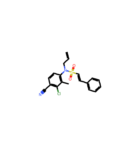 C=CCN(c1ccc(C#N)c(Cl)c1C)S(=O)(=O)C=Cc1ccccc1